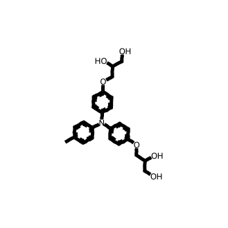 Cc1ccc(N(c2ccc(OCC(O)CO)cc2)c2ccc(OCC(O)CO)cc2)cc1